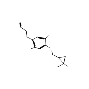 O=CCCc1cc(F)c(OCC2CC2(Cl)Cl)cc1F